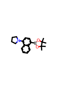 CC1(C)OB(c2ccc(N3CCCC3)c3ccccc23)OC1(C)C